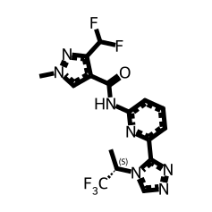 C[C@H](n1cnnc1-c1cccc(NC(=O)c2cn(C)nc2C(F)F)n1)C(F)(F)F